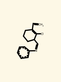 C=CC1=C(Cl)C(/C=N\c2ccccc2)CCC1